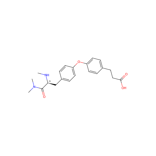 CN[C@@H](Cc1ccc(Oc2ccc(CCC(=O)O)cc2)cc1)C(=O)N(C)C